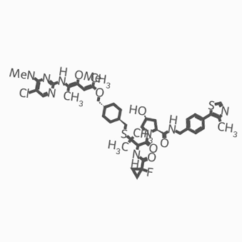 CNc1nc(N/C(C)=C(/C=C(\C)OC[C@H]2CC[C@H](CSC(C)(C)C(NC(=O)C3(F)CC3)C(=O)N3C[C@H](O)C[C@H]3C(=O)NCc3ccc(-c4scnc4C)cc3)CC2)OC)ncc1Cl